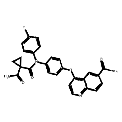 NC(=O)c1ccc2nccc(Oc3ccc(N(C(=O)C4(C(N)=O)CC4)c4ccc(F)cc4)cc3)c2c1